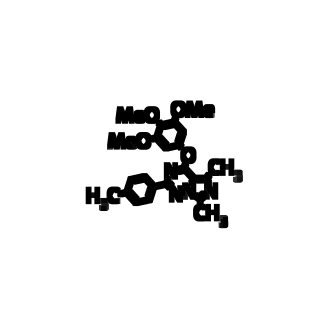 COc1cc(Oc2nc(-c3ccc(C)cc3)nn3c(C)nc(C)c23)cc(OC)c1OC